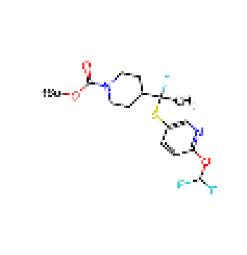 CC(C)(C)OC(=O)N1CCC(C(C)(F)Sc2ccc(OC(F)F)nc2)CC1